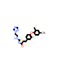 N#Cc1ccc(Oc2ccc(/C=C3\SC(NCCn4cncn4)=NC3=O)cc2F)c(CF)c1